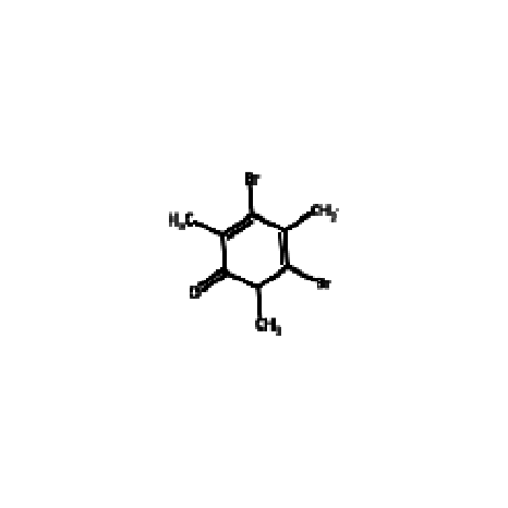 [CH2]C1=C(Br)C(C)C(=O)C(C)=C1Br